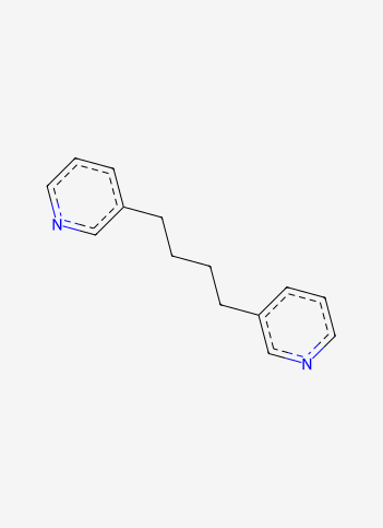 c1cncc(CCCCc2cccnc2)c1